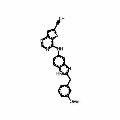 C#Cc1cc2ncnc(Nc3ccc4[nH]c(Cc5cccc(OC)c5)nc4c3)c2s1